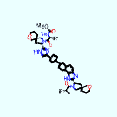 COC(=O)N[C@H](C(=O)N1C[C@]2(CCCOC2)C[C@H]1c1nc(-c2ccc(-c3ccc4c(ccc5nc([C@@H]6C[C@@]7(CCCOC7)CN6C(=O)[C@@H](C)C(C)C)[nH]c54)c3)cc2)c[nH]1)C(C)C